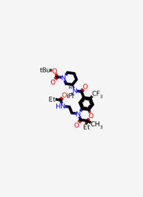 CCC(=O)NCCN1C(=O)C(C)(CC)Oc2cc(C(F)(F)F)c(C(=O)N(C(C)C)[C@@H]3CCCN(C(=O)OC(C)(C)C)C3)cc21